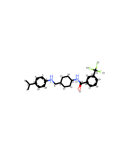 CC(C)c1ccc(NCC2CCC(NC(=O)c3cccc(C(F)(F)F)c3)CC2)cc1